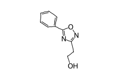 OCCc1noc(-c2ccccc2)n1